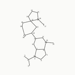 CC(C)N1CCC2C1CC(C1CC3(CCCN3I)CCO1)CN2C